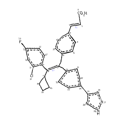 O=C(O)/C=C/c1ccc(/C(=C(\c2ccc(F)cc2Cl)C2CCC2)c2ccc(-c3nn[nH]n3)cc2)cc1